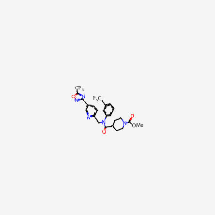 COC(=O)N1CCC(C(=O)N(Cc2ccc(-c3noc(C(F)(F)F)n3)cn2)c2cccc(C(F)(F)F)c2)CC1